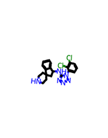 Clc1cccc(-n2nnnc2NC2CC3(CCNCC3)c3ccccc32)c1Cl